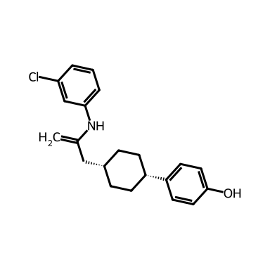 C=C(C[C@H]1CC[C@@H](c2ccc(O)cc2)CC1)Nc1cccc(Cl)c1